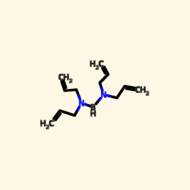 C=CCN(BN(CC=C)CC=C)CC=C